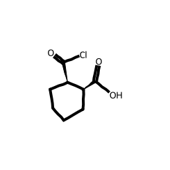 O=C(O)[C@H]1CCCC[C@H]1C(=O)Cl